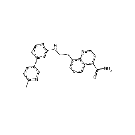 Cc1ncc(-c2cc(NCCc3cccc4c(C(N)=O)ccnc34)ncn2)cn1